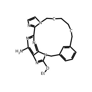 CCOc1nc2c(N)nc3nc2n1Cc1cccc(c1)CCCCCCn1ccnc1-3